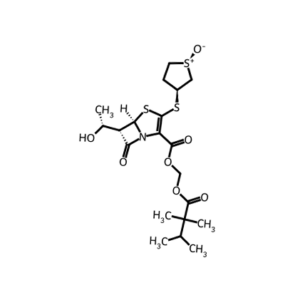 CC(C)C(C)(C)C(=O)OCOC(=O)C1=C(S[C@H]2CC[S@@+]([O-])C2)S[C@@H]2[C@@H]([C@@H](C)O)C(=O)N12